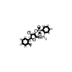 NC1=C(OS(=O)(=O)c2ccccc2)C(=O)C(c2ccccc2F)O1